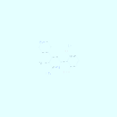 CCOc1cccc(O)c1-c1cc(C2CCNCC2)c(C#N)c(N)n1